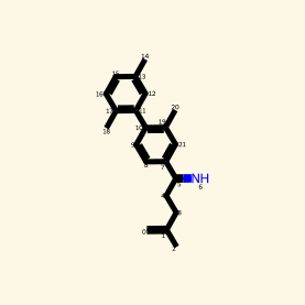 C=C(C)CCC(=N)c1ccc(-c2cc(C)ccc2C)c(C)c1